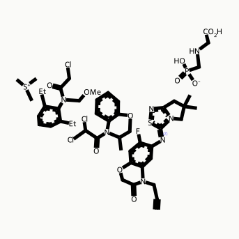 C#CCN1C(=O)COc2cc(F)c(/N=c3\snc4n3CC(C)(C)C4)cc21.CC1COc2ccccc2N1C(=O)C(Cl)Cl.CCc1cccc(CC)c1N(COC)C(=O)CCl.C[S+](C)C.O=C(O)CNCP(=O)([O-])O